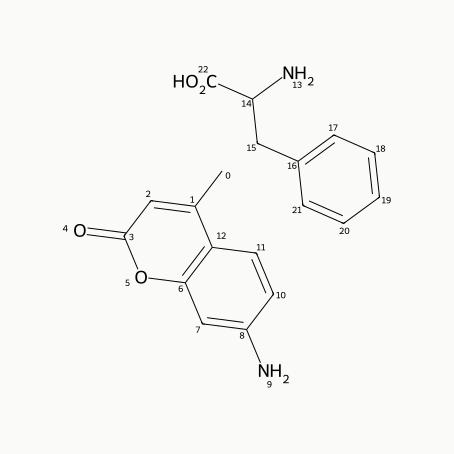 Cc1cc(=O)oc2cc(N)ccc12.NC(Cc1ccccc1)C(=O)O